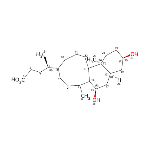 CC1CCC([C@H](C)CCC(=O)O)CCCC2C1[C@H](O)C[C@@H]1C[C@H](O)CC[C@]21C